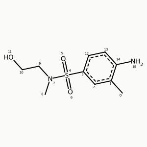 Cc1cc(S(=O)(=O)N(C)CCO)ccc1N